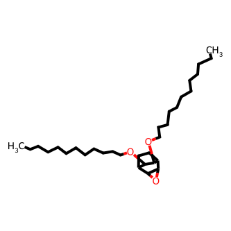 CCCCCCCCCCCCOC1C2CCC(C1OCCCCCCCCCCCC)C1OC21